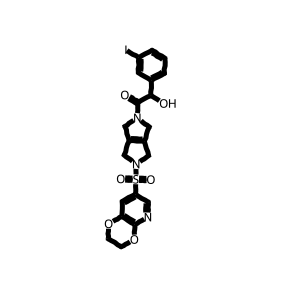 O=C(C(O)c1cccc(I)c1)N1CC2=C(C1)CN(S(=O)(=O)c1cnc3c(c1)OCCO3)C2